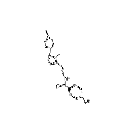 Cc1cc(/C=N/NC(=O)c2ccc(O)cc2)c(C)n1-c1ccc(I)cc1